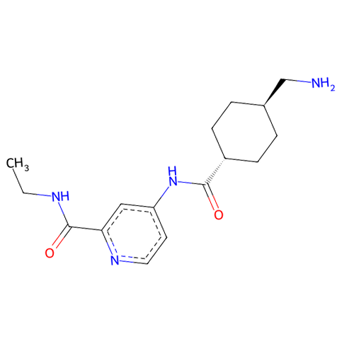 CCNC(=O)c1cc(NC(=O)[C@H]2CC[C@H](CN)CC2)ccn1